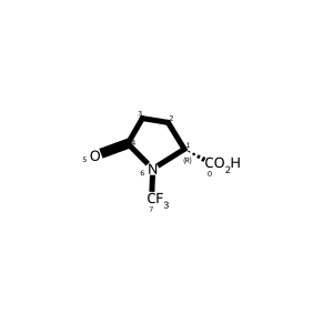 O=C(O)[C@H]1CCC(=O)N1C(F)(F)F